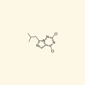 CC(C)Cc1ncc2c(Cl)nc(Cl)nn12